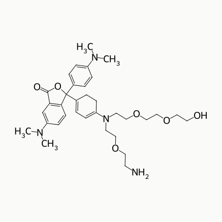 CN(C)c1ccc(C2(C3=CC=C(N(CCOCCN)CCOCCOCCO)CC3)OC(=O)c3cc(N(C)C)ccc32)cc1